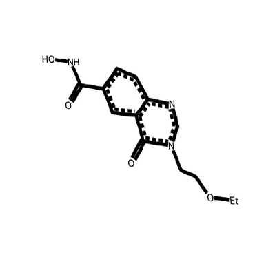 CCOCCn1cnc2ccc(C(=O)NO)cc2c1=O